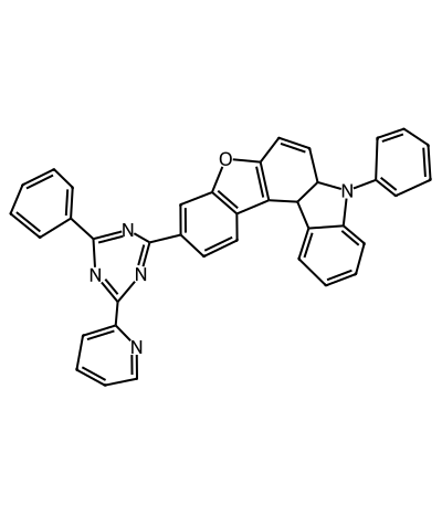 C1=CC2C(c3ccccc3N2c2ccccc2)c2c1oc1cc(-c3nc(-c4ccccc4)nc(-c4ccccn4)n3)ccc21